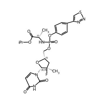 CC(C)OC(=O)[C@H](C)NP(=O)(OC[C@@H]1C[C@@](C)(F)[C@H](n2ccc(=O)[nH]c2=O)O1)Oc1ccc(-c2csnn2)cc1